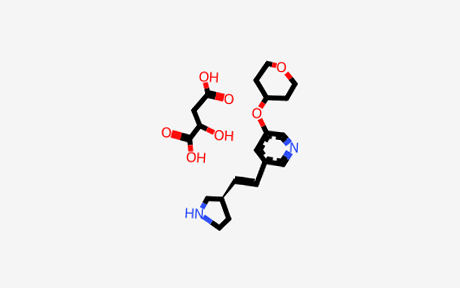 C(=C[C@H]1CCNC1)c1cncc(OC2CCOCC2)c1.O=C(O)CC(O)C(=O)O